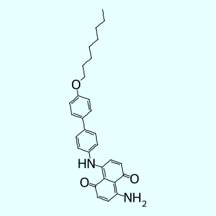 CCCCCCCCOc1ccc(-c2ccc(NC3=C4C(=O)C=CC(N)=C4C(=O)C=C3)cc2)cc1